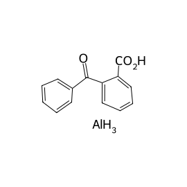 O=C(O)c1ccccc1C(=O)c1ccccc1.[AlH3]